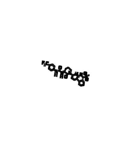 CS(=O)(=O)C(N)c1ccccc1-c1ccc(N2CCC[C@@H](NC(=O)Nc3ccc(C(F)(F)F)cc3)C2=O)cc1